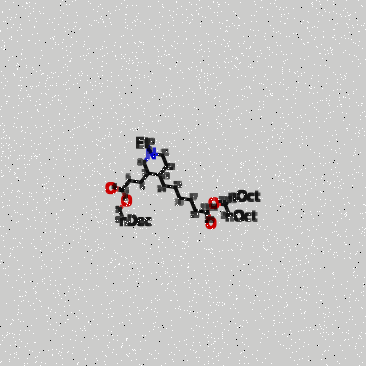 CCCCCCCCCCCOC(=O)CCC1CN(CC)CCC1CCCCCC(=O)OC(CCCCCCCC)CCCCCCCC